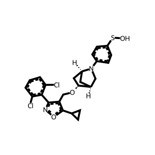 OSc1ccc(N2C[C@@H]3C[C@H]2C[C@H]3OCc2c(-c3c(Cl)cccc3Cl)noc2C2CC2)cc1